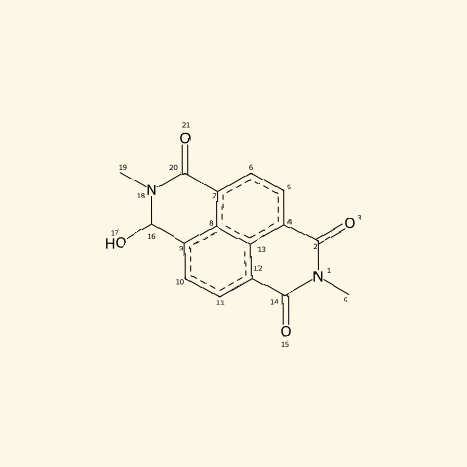 CN1C(=O)c2ccc3c4c(ccc(c24)C1=O)C(O)N(C)C3=O